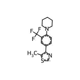 Cc1s[c]nc1-c1ccc(N2CCCCC2)c(C(F)(F)F)c1